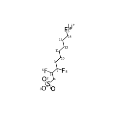 O=S(=O)([O-])CC(F)C(F)CCCCCCF.[Li+]